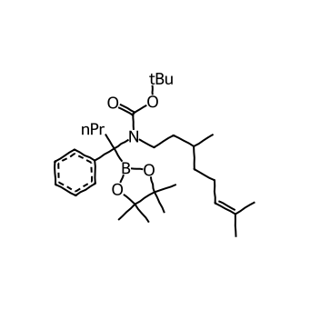 CCCC(B1OC(C)(C)C(C)(C)O1)(c1ccccc1)N(CCC(C)CCC=C(C)C)C(=O)OC(C)(C)C